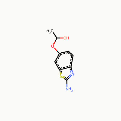 CC(O)Oc1ccc2nc(N)sc2c1